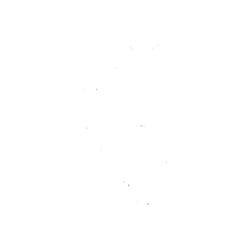 CC(C)(C)NC(=O)c1ccc(O)c(-c2ccccc2)c1